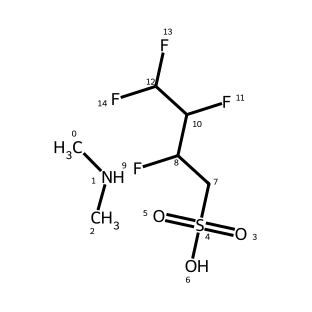 CNC.O=S(=O)(O)CC(F)C(F)C(F)F